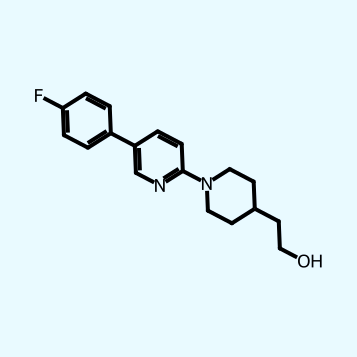 OCCC1CCN(c2ccc(-c3ccc(F)cc3)cn2)CC1